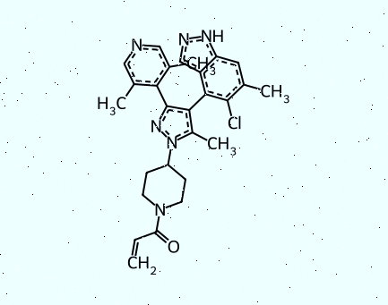 C=CC(=O)N1CCC(n2nc(-c3c(C)cncc3C)c(-c3c(Cl)c(C)cc4[nH]ncc34)c2C)CC1